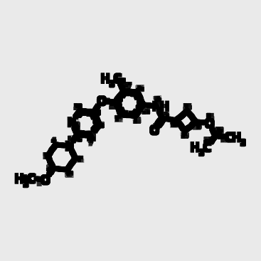 COC1CCN(c2ncc(Oc3ccc(NC(=O)C4CC(OC(C)C)C4)cc3C)cn2)CC1